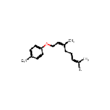 CCC(C)=CCCC(C)=CCOc1ccc([N+](=O)[O-])cc1